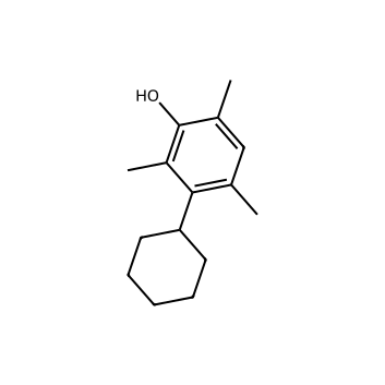 Cc1cc(C)c(C2CCCCC2)c(C)c1O